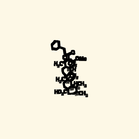 CO[C@H]1C[C@@]2(C)C(CC[C@]3(C)[C@@H]2CC=C2[C@@H]4[C@@H](C)[C@H](C)CC[C@]4(C(=O)O)CC[C@]23C)C(C)(C)[C@@H]1C(=O)C=Cc1ccccc1